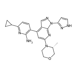 C[C@@H]1COCCN1c1cc(-c2ccc(C3CC3)nc2N)c2cnn(-c3cc[nH]n3)c2n1